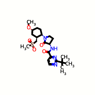 CO[C@@H]1CC[C@H](N2CC[C@H](NC(=O)c3ccnc(C(C)(C)C)n3)C2=O)[C@@H](CS(C)(=O)=O)C1